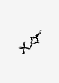 CC(C)(C)CN1CC(=O)C1